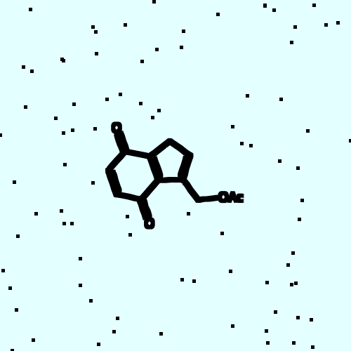 CC(=O)OCC1=CCC2=C1C(=O)C=CC2=O